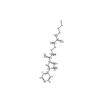 CCCCOC(=O)NCCNC(=O)c1cc(-c2ccccc2)[nH]n1